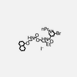 CCC[n+]1cc(Br)cc(C(=O)NC(CC)CCOC(=O)NCCOc2cccc3ccccc23)c1.[I-]